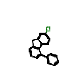 Clc1ccc2c(c1)Cc1cccc(-c3ccccc3)c1-2